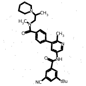 Cc1ncc(NC(=O)c2cc(C#N)cc(C(C)(C)C)c2)cc1-c1ccc(C(=O)N(C)CC(C)N2CCCCC2)cc1